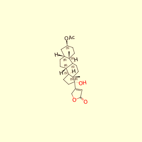 CC(=O)O[C@H]1CC[C@@]2(C)[C@H](CC[C@@H]3[C@@H]2CC[C@@]2(C)[C@H]3CC[C@]2(O)C2=CC(=O)OC2)C1